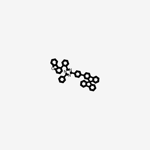 c1ccc(-c2nc(-c3ccc(-c4ccc5c(c4)C4(c6ccccc6-c6ccccc64)c4ccccc4-5)cc3)nc(-c3ccccc3-c3cccc4oc5ccccc5c34)n2)cc1